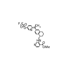 COC(=O)c1ccncc1NC[C@@H]1CCCc2cc(N(C)c3ccc(OS(=O)(=O)C(F)(F)F)cn3)ccc21